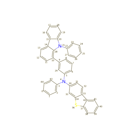 c1ccc(N(c2cccc(-c3cccc4c5ccccc5n(-c5ccccc5)c34)c2)c2ccc3c(c2)sc2ccccc23)cc1